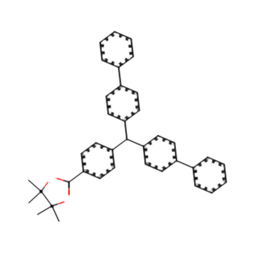 CC1(C)OC(c2ccc(C(c3ccc(-c4ccccc4)cc3)c3ccc(-c4ccccc4)cc3)cc2)OC1(C)C